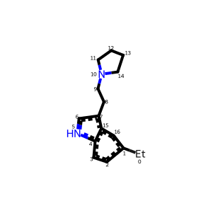 CCc1ccc2[nH]cc(CCN3CCCC3)c2c1